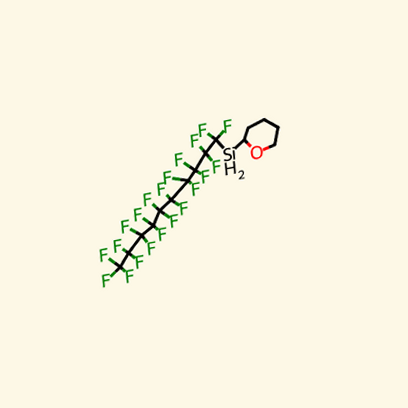 FC(F)(F)C(F)(F)C(F)(F)C(F)(F)C(F)(F)C(F)(F)C(F)(F)C(F)(F)C(F)(F)C(F)(F)[SiH2]C1CCCCO1